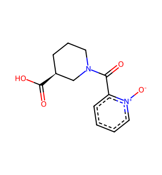 O=C(O)[C@H]1CCCN(C(=O)c2cccc[n+]2[O-])C1